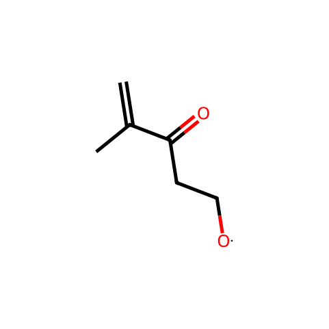 C=C(C)C(=O)CC[O]